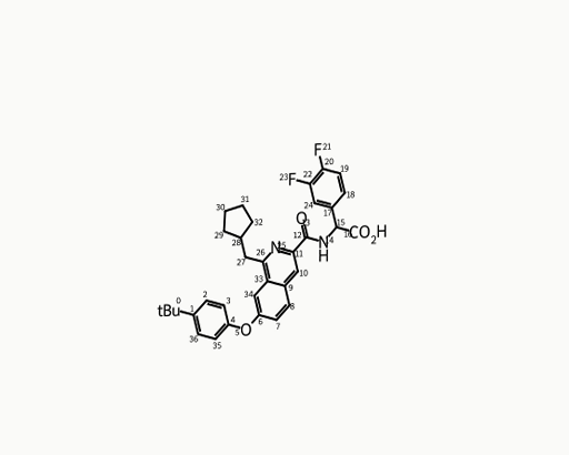 CC(C)(C)c1ccc(Oc2ccc3cc(C(=O)NC(C(=O)O)c4ccc(F)c(F)c4)nc(CC4CCCC4)c3c2)cc1